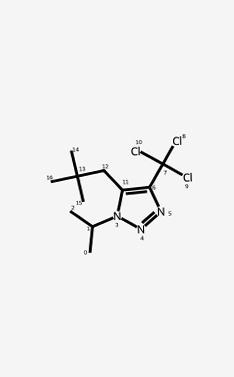 CC(C)n1nnc(C(Cl)(Cl)Cl)c1CC(C)(C)C